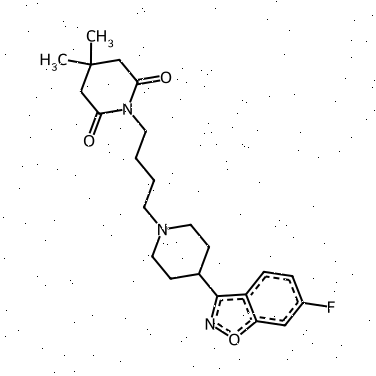 CC1(C)CC(=O)N(CCCCN2CCC(c3noc4cc(F)ccc34)CC2)C(=O)C1